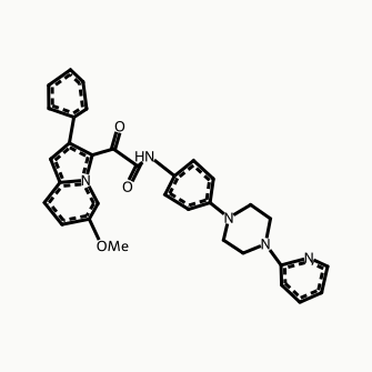 COc1ccc2cc(-c3ccccc3)c(C(=O)C(=O)Nc3ccc(N4CCN(c5ccccn5)CC4)cc3)n2c1